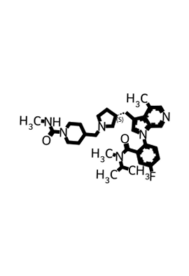 CNC(=O)N1CCC(CN2CC[C@H](Cc3cn(-c4ccc(F)cc4C(=O)N(C)C(C)C)c4cncc(C)c34)C2)CC1